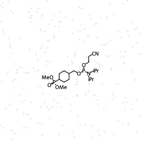 COP(=O)(OC)C1CCC(COP(OCCC#N)N(C(C)C)C(C)C)CC1